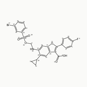 O=C(O)c1c(-c2ccc(F)cc2)oc2cc(NCOS(=O)(=O)c3cccc(Br)c3)c(C3CC3)cc12